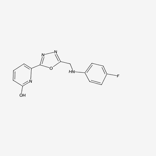 Oc1cccc(-c2nnc(CNc3ccc(F)cc3)o2)n1